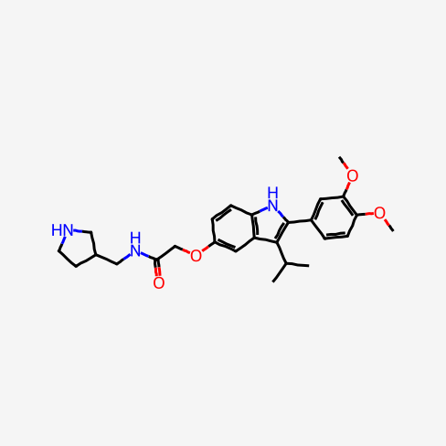 COc1ccc(-c2[nH]c3ccc(OCC(=O)NCC4CCNC4)cc3c2C(C)C)cc1OC